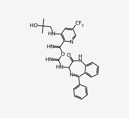 CC(C)(O)CNc1cc(C(F)(F)F)cnc1C(=N)OC(=N)NC1N=C(c2ccccc2)c2ccccc2NC1=O